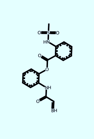 B=CC(=O)Nc1ccccc1OC(=O)c1ccccc1NS(C)(=O)=O